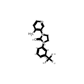 Cc1ccncc1N1CCN(c2cccc(C(F)(F)F)c2)C1=O